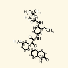 CCc1cc(NC(=O)C(=O)N2C[C@H](C)CC[C@H]2c2cnc3c(c2)CCC(=O)N3)cnc1NC(=O)OC(C)(C)C